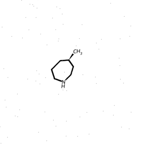 C[C@@H]1CCCNCC1